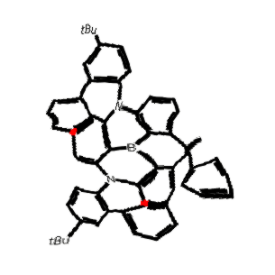 CC(C)(C)c1ccc(N2c3cccc4c3B3c5c2cccc5C(C)(c2ccccc2)c2cccc(c23)N4c2ccc(C(C)(C)C)cc2-c2ccccc2)c(-c2ccccc2)c1